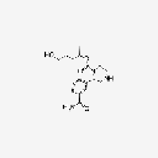 CC(CCCO)OC(=O)N1CCNCC1c1cccc(C(N)=O)c1